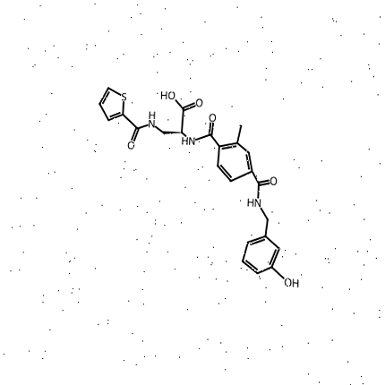 Cc1cc(C(=O)NCc2cccc(O)c2)ccc1C(=O)N[C@@H](CNC(=O)c1cccs1)C(=O)O